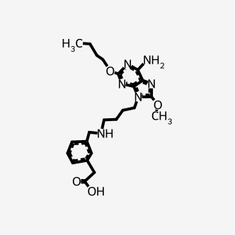 CCCCOc1nc(N)c2nc(OC)n(CCCCNCc3cccc(CC(=O)O)c3)c2n1